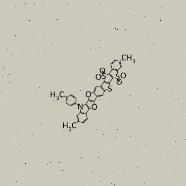 Cc1ccc(-n2c3cc(C)ccc3c3oc4c5cc6sc7c(c6cc5oc4c32)S(=O)(=O)C2=C7S(=O)(=O)c3cc(C)ccc32)cc1